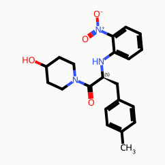 Cc1ccc(C[C@H](Nc2ccccc2[N+](=O)[O-])C(=O)N2CCC(O)CC2)cc1